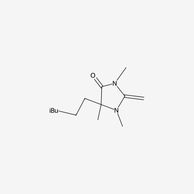 C=C1N(C)C(=O)C(C)(CCC(C)CC)N1C